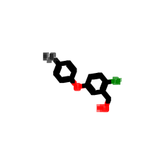 OCc1cc(Oc2ccc(C(F)(F)F)cc2)ccc1Br